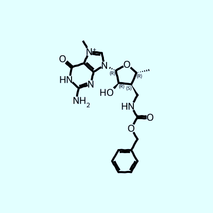 C[C@H]1O[C@@H](n2c[n+](C)c3c(=O)[nH]c(N)nc32)[C@H](O)[C@@H]1CNC(=O)OCc1ccccc1